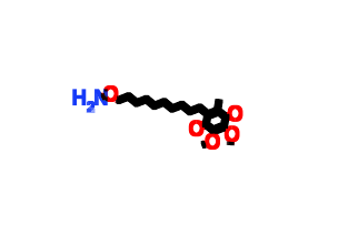 COC1=C(OC)C(=O)C(CCCCCCCCCCON)=C(C)C1=O